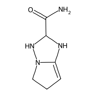 NC(=O)C1NC2=CCCN2N1